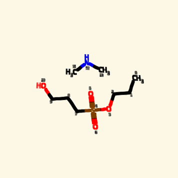 CCCOS(=O)(=O)CCCO.CNC